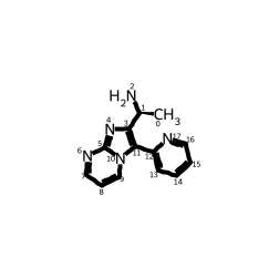 C[C@H](N)c1nc2ncccn2c1-c1ccccn1